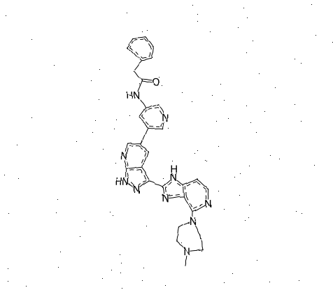 CN1CCN(c2nccc3[nH]c(-c4n[nH]c5ncc(-c6cncc(NC(=O)Cc7ccccc7)c6)cc45)nc23)CC1